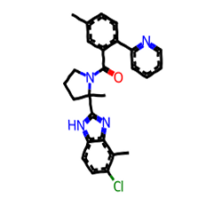 Cc1ccc(-c2ccccn2)c(C(=O)N2CCCC2(C)c2nc3c(C)c(Cl)ccc3[nH]2)c1